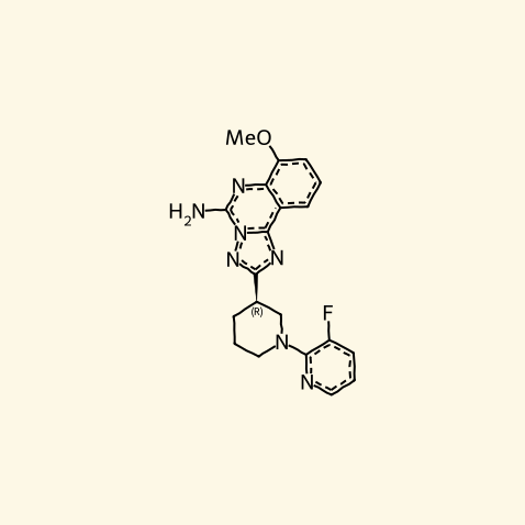 COc1cccc2c1nc(N)n1nc([C@@H]3CCCN(c4ncccc4F)C3)nc21